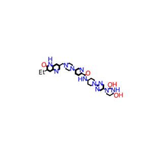 CCc1cc2ncc(CN3CCN(c4ccc(C(=O)NC5CCN(c6ncc(N7CCC(O)NC7O)cn6)CC5)nc4)CC3)cc2[nH]c1=O